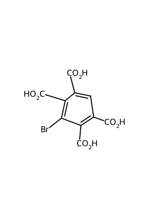 O=C(O)c1cc(C(=O)O)c(C(=O)O)c(Br)c1C(=O)O